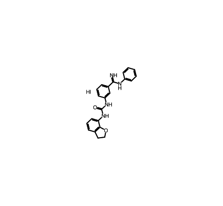 I.N=C(Nc1ccccc1)c1cccc(NC(=O)Nc2cccc3c2OCC3)c1